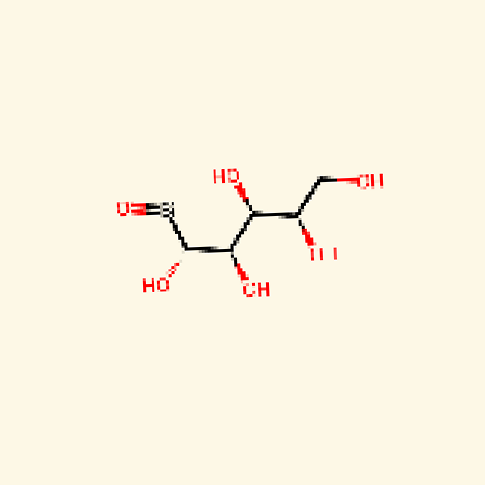 [O]=[Bi][C@@H](O)[C@H](O)[C@@H](O)[C@H](O)CO